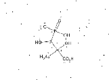 O=C(O)C(O)([AsH2])C(O)P(=O)(O)O